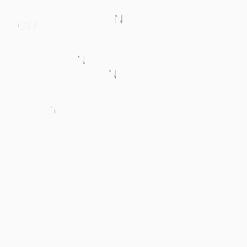 OCC(Oc1ccc(-c2ccccc2)cc1)n1cncn1